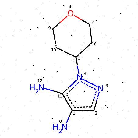 Nc1cnn(C2CCOCC2)c1N